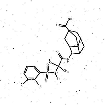 CCN(C(C)(C)C(=O)NC1C2CC3CC1CC(C(N)=O)(C3)C2)S(=O)(=O)c1cccc(Cl)c1Cl